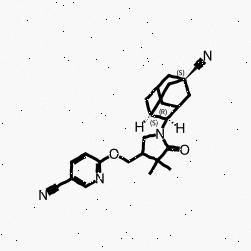 CC1(C)C(=O)N([C@@H]2C3CC4C[C@H]2C[C@](C#N)(C4)C3)CC1COc1ccc(C#N)cn1